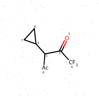 CC(=O)C(C(=O)C(F)(F)F)C1CC1